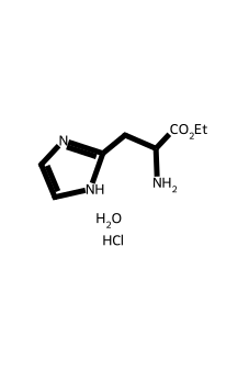 CCOC(=O)C(N)Cc1ncc[nH]1.Cl.O